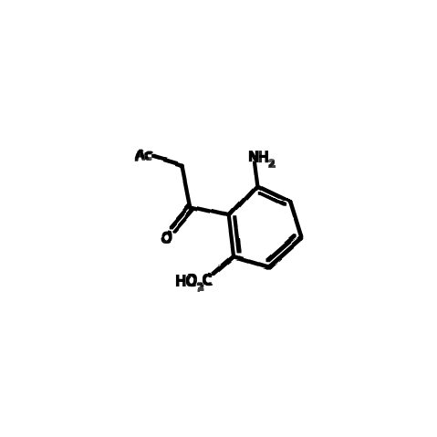 CC(=O)CC(=O)c1c(N)cccc1C(=O)O